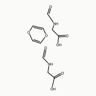 C1=COC=CO1.O=CNCC(=O)O.O=CNCC(=O)O